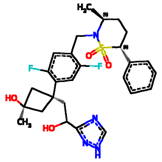 C[C@H]1CC[C@H](c2ccccc2)S(=O)(=O)N1Cc1cc(F)c([C@]2(CC(O)c3nc[nH]n3)C[C@](C)(O)C2)cc1F